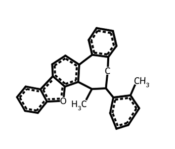 Cc1ccccc1C1Cc2ccccc2-c2ccc3c(oc4ccccc43)c2C1C